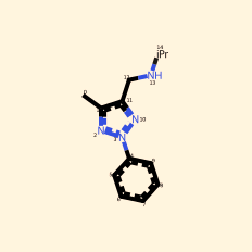 Cc1nn(-c2ccccc2)nc1CNC(C)C